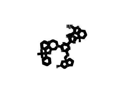 CC(C)(C)[Si](O[C@H]1COCCN(c2nc(OC[C@@]34CCCN3C[C@H](F)C4)nc(-c3noc([C@@]4(C)CCCc5sc(N)c(C#N)c54)n3)n2)C1)(c1ccccc1)c1ccccc1